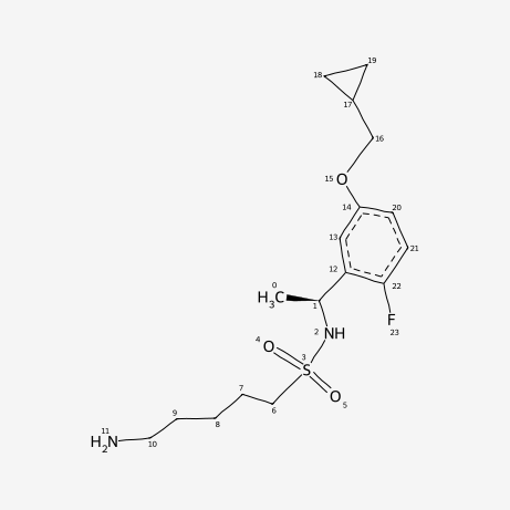 C[C@H](NS(=O)(=O)CCCCCN)c1cc(OCC2CC2)ccc1F